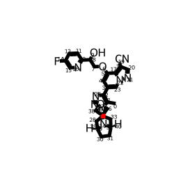 Cc1c(-c2cc(OCC(O)c3ccc(F)cn3)c3c(C#N)cnn3c2)nnn1C1C[C@H]2CC[C@@H](C1)N2C1COC1